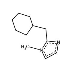 Cn1ccnc1CC1CCCCC1